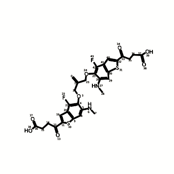 C=C(COc1c(NC)cc2sc(C(=O)CCC(=O)O)cc2c1F)COc1c(NC)cc2sc(C(=O)CCC(=O)O)cc2c1F